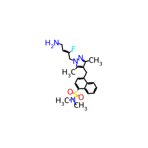 Cc1nn(CC(F)=CCN)c(C)c1Cc1ccc(S(=O)(=O)N(C)C)c2ccccc12